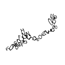 O=C1CCC(N2Cc3cc(N4CCN([C@H]5CC[C@@H](Oc6ccc(-c7cnc8[nH]cc(C(=O)c9c(F)ccc(NS(=O)(=O)N%10CC[C@@H](F)C%10)c9F)c8c7)cc6)CC5)CC4)ccc3C2=O)C(=O)N1